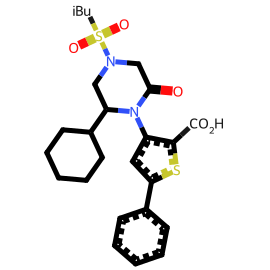 CCC(C)S(=O)(=O)N1CC(=O)N(c2cc(-c3ccccc3)sc2C(=O)O)C(C2CCCCC2)C1